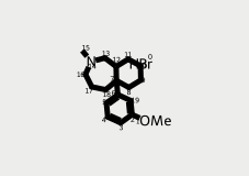 Br.COc1cccc(C23CCCCC2CN(C)CCC3)c1